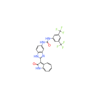 O=C(Nc1cc(C(F)(F)F)cc(C(F)(F)F)c1)Nc1ccc2[nH]c(-c3c4cccccc-4[nH]c3=O)nc2c1